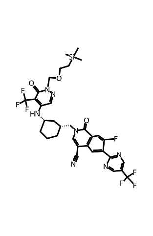 C[Si](C)(C)CCOCn1ncc(N[C@H]2CCC[C@@H](Cn3cc(C#N)c4cc(-c5ncc(C(F)(F)F)cn5)c(F)cc4c3=O)C2)c(C(F)(F)F)c1=O